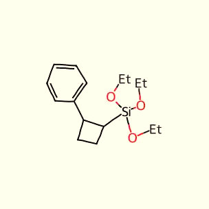 CCO[Si](OCC)(OCC)C1CCC1c1ccccc1